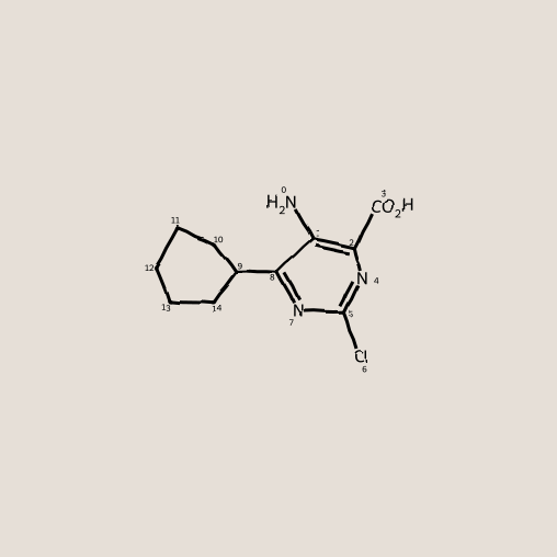 Nc1c(C(=O)O)nc(Cl)nc1C1CCCCC1